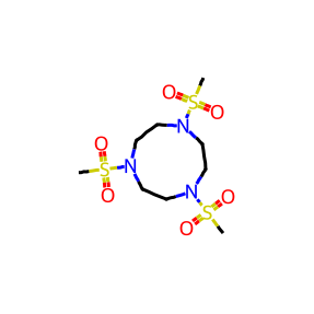 CS(=O)(=O)N1CCN(S(C)(=O)=O)CCN(S(C)(=O)=O)CC1